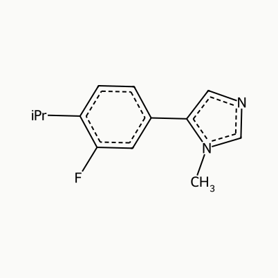 CC(C)c1ccc(-c2cncn2C)cc1F